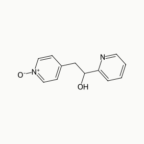 [O-][n+]1ccc(CC(O)c2ccccn2)cc1